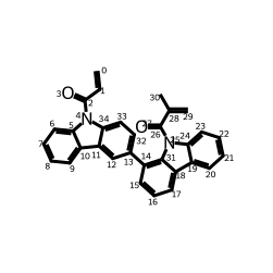 C=CC(=O)n1c2ccccc2c2cc(-c3cccc4c5ccccc5n(C(=O)C(=C)C)c34)ccc21